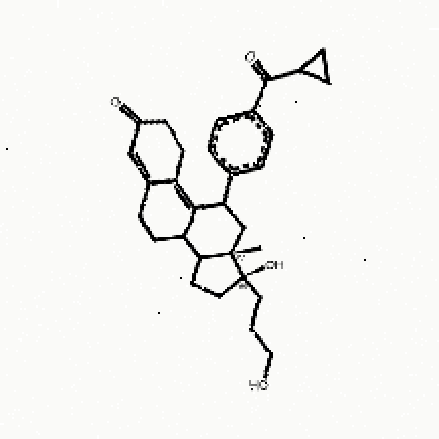 C[C@]12CC(c3ccc(C(=O)C4CC4)cc3)C3=C4CCC(=O)C=C4CCC3C1CC[C@@]2(O)CCCO